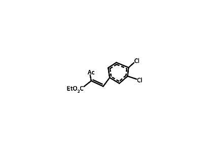 CCOC(=O)C(=Cc1ccc(Cl)c(Cl)c1)C(C)=O